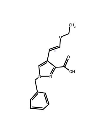 CCO/C=C/c1cn(Cc2ccccc2)nc1C(=O)O